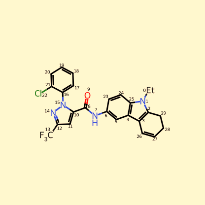 CCn1c2c(c3cc(NC(=O)c4cc(C(F)(F)F)nn4-c4ccccc4Cl)ccc31)C=CCC2